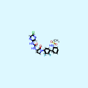 CS(=O)(=O)Nc1ccccc1-c1ccc(N2CC[C@@H](NC(=O)Nc3cnc(Cl)cn3)C2=O)c(F)c1F